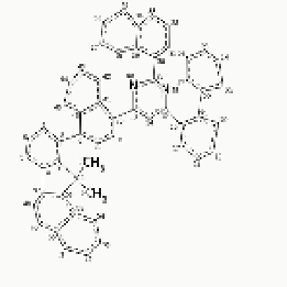 CC1(C)c2c(cccc2-c2ccc(-c3cc(-c4ccccc4-c4ccccc4)nc(-c4cccc5ccccc45)n3)c3ccccc23)-c2ccc3ccccc3c21